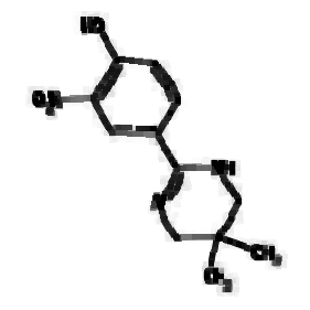 CC1(C)CN=C(c2ccc(O)c([N+](=O)[O-])c2)NC1